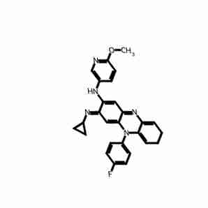 COc1ccc(Nc2cc3nc4c(n(-c5ccc(F)cc5)c-3c/c2=N\C2CC2)=CCCC=4)cn1